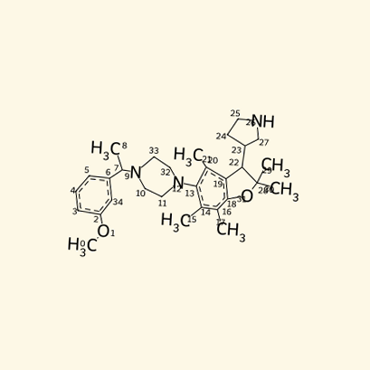 COc1cccc(C(C)N2CCN(c3c(C)c(C)c4c(c3C)C(C3CCNC3)C(C)(C)O4)CC2)c1